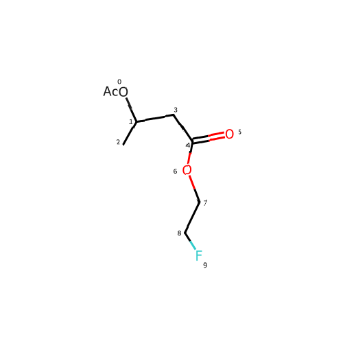 [CH2]C(=O)OC(C)CC(=O)OCCF